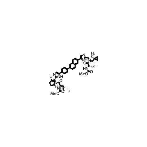 C=C[C@H](NC(=O)OC)C(=O)N1[C@@H]2CC[C@@H](C2)[C@H]1c1ncc(-c2ccc(-c3ccc4cc(-c5cnc(CN(CC6(C)CC6)C(=O)[C@@H](NC(=O)OC)C(C)C)[nH]5)ccc4c3)cc2)[nH]1